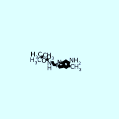 Cc1cc2cn(CCNC(=O)OC(C)(C)C)nc2cc1N